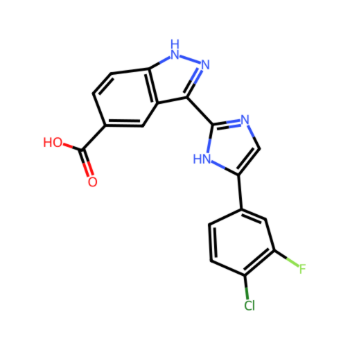 O=C(O)c1ccc2[nH]nc(-c3ncc(-c4ccc(Cl)c(F)c4)[nH]3)c2c1